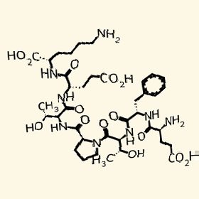 C[C@@H](O)[C@H](NC(=O)[C@@H]1CCCN1C(=O)[C@@H](NC(=O)[C@H](Cc1ccccc1)NC(=O)[C@@H](N)CCC(=O)O)[C@@H](C)O)C(=O)N[C@@H](CCC(=O)O)C(=O)N[C@@H](CCCCN)C(=O)O